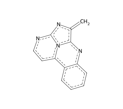 C=c1nc2nccc3c4ccccc4nc1n23